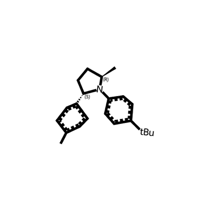 Cc1ccc([C@@H]2CC[C@@H](C)N2c2ccc(C(C)(C)C)cc2)cc1